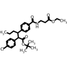 CCCC(c1ccc(C(=O)NCCC(=O)OCC)cc1)C(C(=O)OC(C)(C)C)c1ccc(Cl)cc1